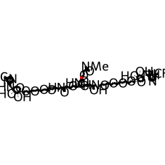 CNC(=O)COCC(=O)NC(COCCC(=O)NCCOCCOCCOCCOC[C@H]1OC[C@H](Nc2cncc(C(F)(F)F)n2)[C@@H](O)[C@H]1O)COCCC(O)NCCOCCOCCOCCOC[C@H]1OC[C@H](Nc2cncc(C(F)(F)F)n2)[C@@H](O)[C@H]1O